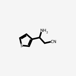 N#CCC(N)c1ccsc1